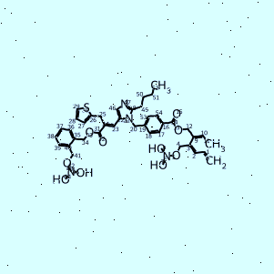 C=C/C=C(CON(O)O)\C(=C/C)COC(=O)c1ccc(Cn2c(/C=C(\Cc3cccs3)C(=O)OCc3ccccc3CON(O)O)cnc2CCCC)cc1